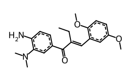 CC/C(=C\c1cc(OC)ccc1OC)C(=O)c1ccc(N)c(N(C)C)c1